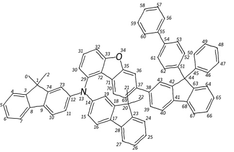 CC1(C)c2ccccc2-c2ccc(N(c3ccc4c(c3)C(C)(C)c3ccccc3-4)c3cccc4oc5cc(-c6ccc7c(c6)C(c6ccccc6)(c6ccc(-c8ccccc8)cc6)c6ccccc6-7)ccc5c34)cc21